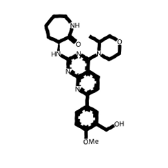 COc1ccc(-c2ccc3c(N4CCOCC4C)nc(N[C@H]4CCCCNC4=O)nc3n2)cc1CO